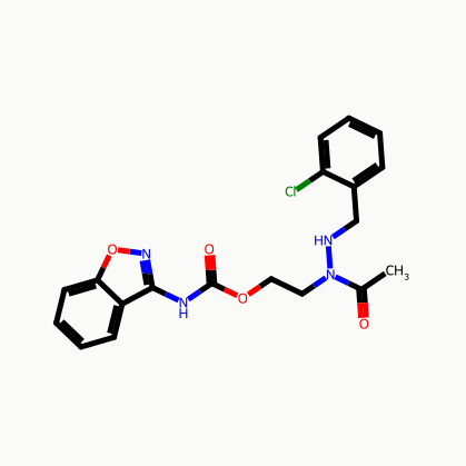 CC(=O)N(CCOC(=O)Nc1noc2ccccc12)NCc1ccccc1Cl